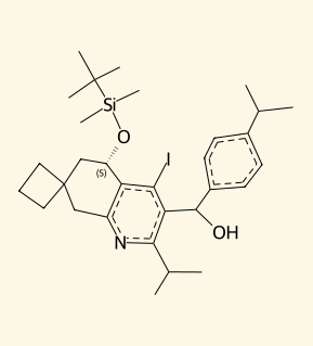 CC(C)c1ccc(C(O)c2c(C(C)C)nc3c(c2I)[C@@H](O[Si](C)(C)C(C)(C)C)CC2(CCC2)C3)cc1